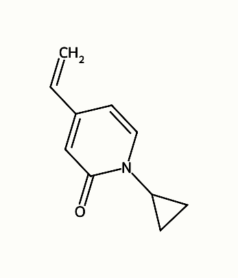 C=Cc1ccn(C2CC2)c(=O)c1